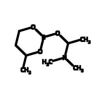 CC1CCOB(OC(C)N(C)C)O1